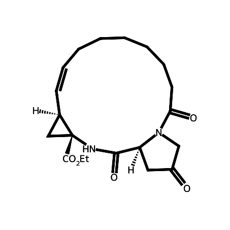 CCOC(=O)[C@@]12C[C@H]1/C=C\CCCCCCC(=O)N1CC(=O)C[C@H]1C(=O)N2